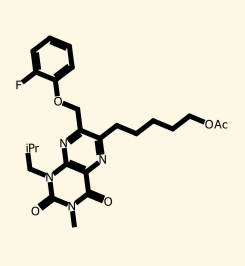 CC(=O)OCCCCCc1nc2c(=O)n(C)c(=O)n(CC(C)C)c2nc1COc1ccccc1F